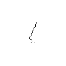 CCC=CCCCCCCC[C@@H](C)CC(=O)O